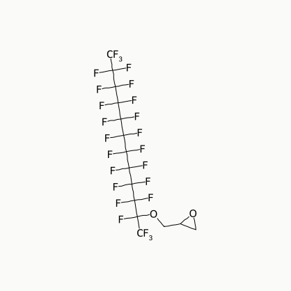 FC(F)(F)C(F)(F)C(F)(F)C(F)(F)C(F)(F)C(F)(F)C(F)(F)C(F)(F)C(F)(F)C(F)(F)C(F)(OCC1CO1)C(F)(F)F